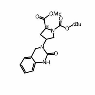 COC(=O)[C@@H]1CC(N2Cc3ccccc3NC2=O)CN1C(=O)OC(C)(C)C